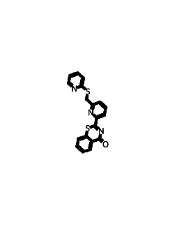 O=c1nc(-c2cccc(CSc3ccccn3)n2)sc2ccccc12